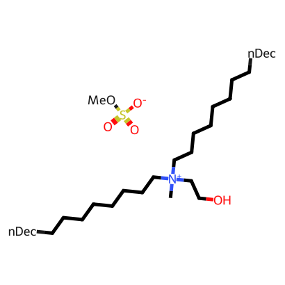 CCCCCCCCCCCCCCCCCC[N+](C)(CCO)CCCCCCCCCCCCCCCCCC.COS(=O)(=O)[O-]